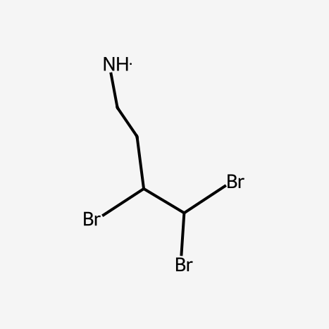 [NH]CCC(Br)C(Br)Br